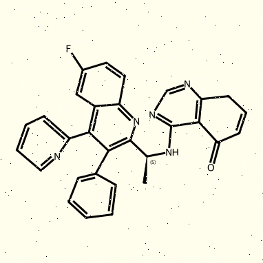 C[C@H](Nc1ncnc2c1C(=O)C=CC2)c1nc2ccc(F)cc2c(-c2ccccn2)c1-c1ccccc1